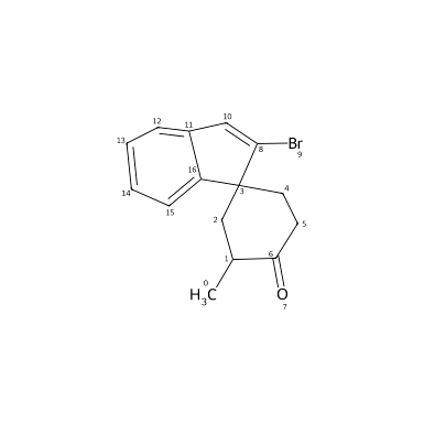 CC1CC2(CCC1=O)C(Br)=Cc1ccccc12